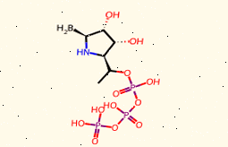 B[C@@H]1N[C@H](C(C)OP(=O)(O)OP(=O)(O)OP(=O)(O)O)[C@@H](O)[C@H]1O